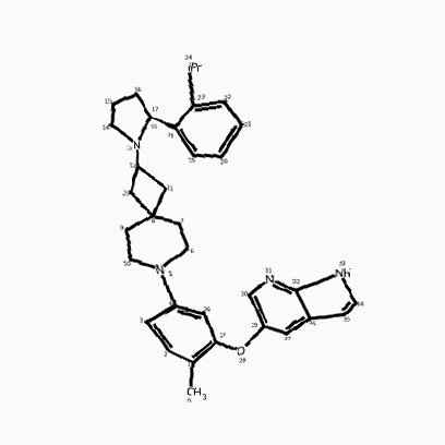 Cc1ccc(N2CCC3(CC2)CC(N2CCC[C@H]2c2ccccc2C(C)C)C3)cc1Oc1cnc2[nH]ccc2c1